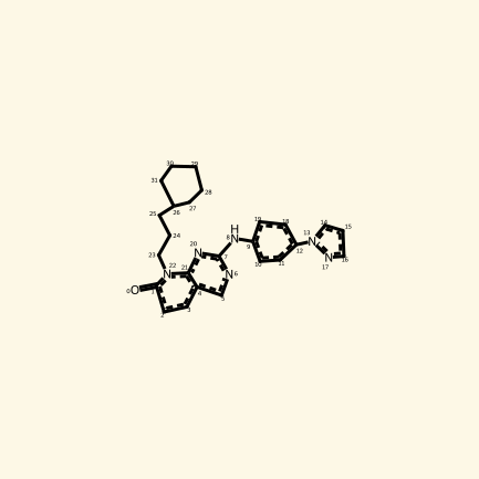 O=c1ccc2cnc(Nc3ccc(-n4cccn4)cc3)nc2n1CCCC1CCCCC1